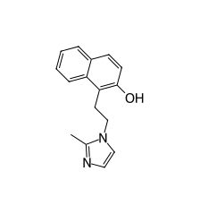 Cc1nccn1CCc1c(O)ccc2ccccc12